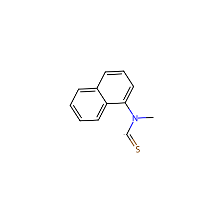 CN([C]=S)c1cccc2ccccc12